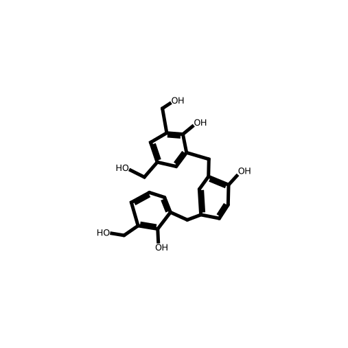 OCc1cc(CO)c(O)c(Cc2cc(Cc3cccc(CO)c3O)ccc2O)c1